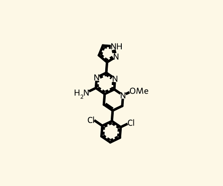 CON1CC(c2c(Cl)cccc2Cl)=Cc2c(N)nc(-c3cc[nH]n3)nc21